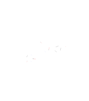 CCc1cn([C@@H]2CC(OC(C)=O)[C@H](CNC(=O)Cc3c(C)cc(O)cc3C)O2)c(=O)[nH]c1=O